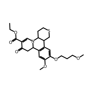 CCOC(=O)C1=CN2C(CC1=O)c1cc(OC)c(OCCCOC)cc1C1CSCCC12